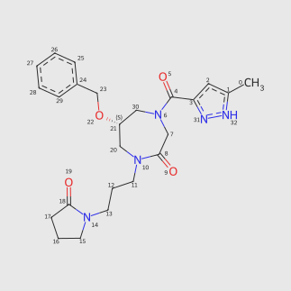 Cc1cc(C(=O)N2CC(=O)N(CCCN3CCCC3=O)C[C@H](OCc3ccccc3)C2)n[nH]1